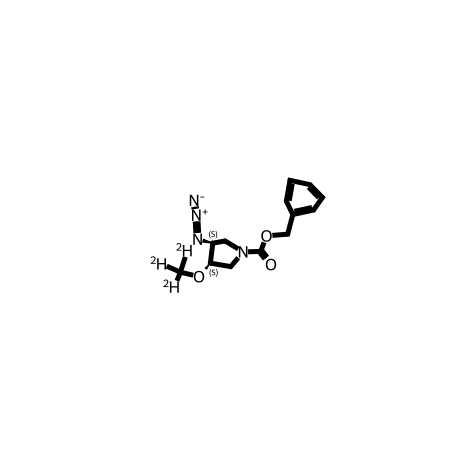 [2H]C([2H])([2H])O[C@H]1CN(C(=O)OCc2ccccc2)C[C@@H]1N=[N+]=[N-]